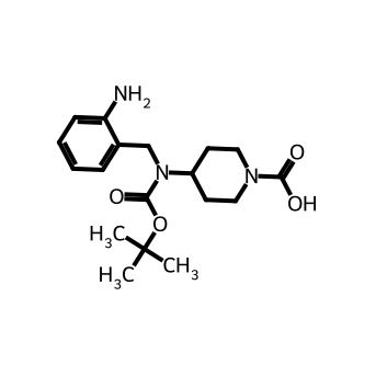 CC(C)(C)OC(=O)N(Cc1ccccc1N)C1CCN(C(=O)O)CC1